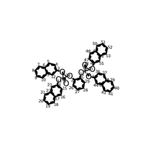 O=P(Oc1ccc2ccccc2c1)(Oc1ccc2ccccc2c1)Oc1ccccc1OP(=O)(Oc1ccc2ccccc2c1)Oc1ccc2ccccc2c1